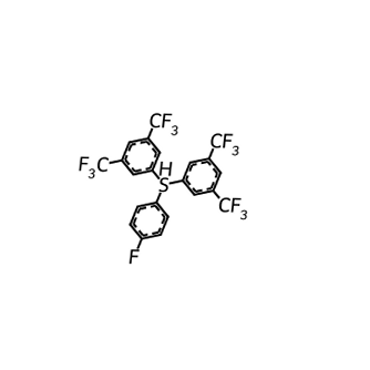 Fc1ccc([SH](c2cc(C(F)(F)F)cc(C(F)(F)F)c2)c2cc(C(F)(F)F)cc(C(F)(F)F)c2)cc1